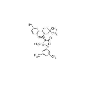 COc1ccc(C(C)C)cc1C1=C(CN2C(=O)O[C@H](c3cc(C(F)(F)F)cc(C(F)(F)F)c3)[C@@H]2C)CC(C)(C)CC1